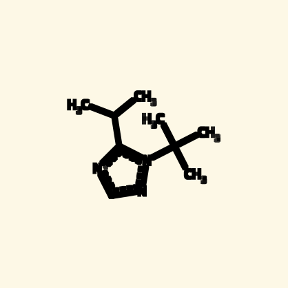 CC(C)c1ncnn1C(C)(C)C